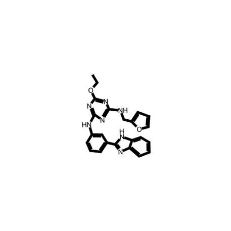 CCOc1nc(NCc2ccco2)nc(Nc2cccc(-c3nc4ccccc4[nH]3)c2)n1